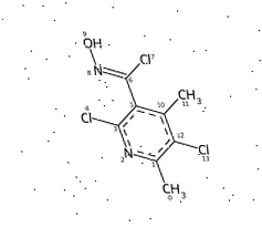 Cc1nc(Cl)c(C(Cl)=NO)c(C)c1Cl